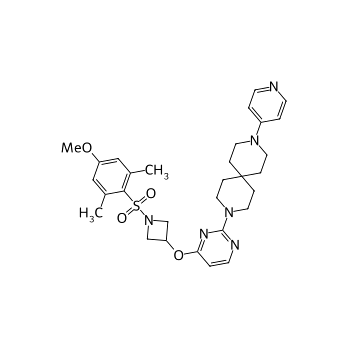 COc1cc(C)c(S(=O)(=O)N2CC(Oc3ccnc(N4CCC5(CCN(c6ccncc6)CC5)CC4)n3)C2)c(C)c1